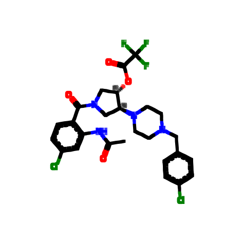 CC(=O)Nc1cc(Cl)ccc1C(=O)N1C[C@H](OC(=O)C(F)(F)F)[C@@H](N2CCN(Cc3ccc(Cl)cc3)CC2)C1